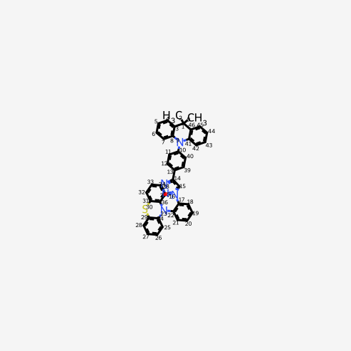 CC1(C)c2ccccc2N(c2ccc(-c3cn(-c4ccccc4N4c5ccccc5Sc5ccccc54)nn3)cc2)c2ccccc21